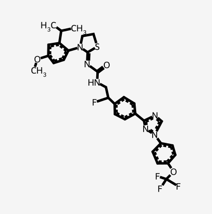 COc1ccc(N2CCS/C2=N\C(=O)NCC(F)c2ccc(-c3ncn(-c4ccc(OC(F)(F)F)cc4)n3)cc2)c(C(C)C)c1